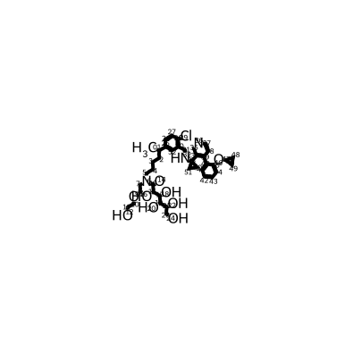 CC(CCCCN(CCOCCO)C(=O)C(O)C(O)C(O)C(O)CO)c1ccc(Cl)c(CNC2(c3cnccc3-c3ccccc3OC3CC3)CC2)c1